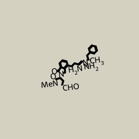 CNC(=O)C(CCC=O)N1Cc2c(CC/C(N)=C/N(N)[C@@H](C)Cc3ccccc3)cccc2C1=O